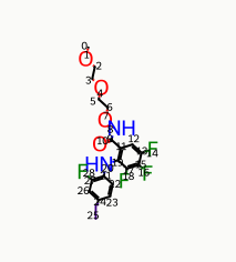 COCCOCCONC(=O)c1cc(F)c(F)c(F)c1Nc1ccc(I)cc1F